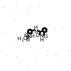 CS(=O)(=O)Nc1cccc(CNC=C2C(=O)NC(=O)c3ccccc32)c1